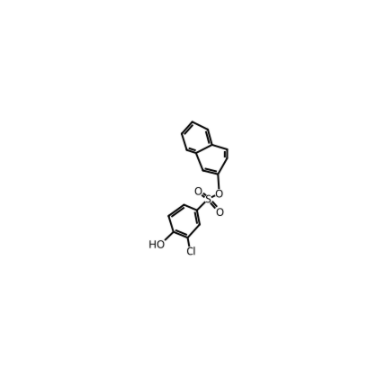 O=S(=O)(Oc1ccc2ccccc2c1)c1ccc(O)c(Cl)c1